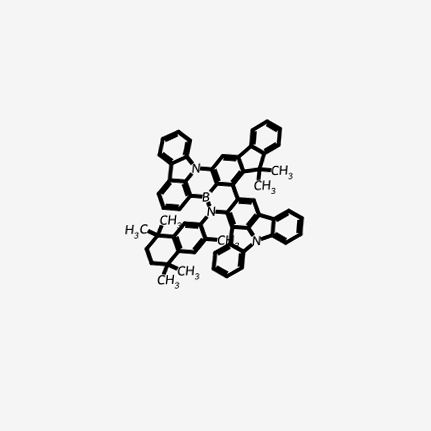 Cc1cc2c(cc1N1B3c4c(cc5c(c4-c4cc6c7ccccc7n7c8ccccc8c(c41)c67)C(C)(C)c1ccccc1-5)-n1c4ccccc4c4cccc3c41)C(C)(C)CCC2(C)C